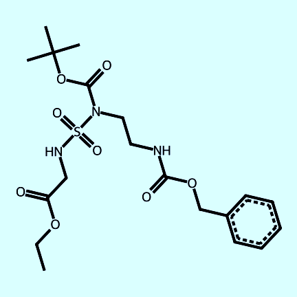 CCOC(=O)CNS(=O)(=O)N(CCNC(=O)OCc1ccccc1)C(=O)OC(C)(C)C